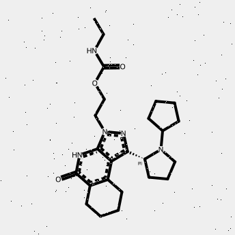 CCNC(=O)OCCn1nc([C@H]2CCCN2C2CCCC2)c2c3c(c(=O)[nH]c21)CCCC3